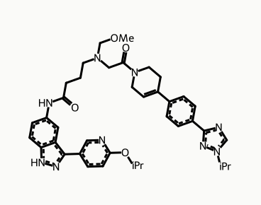 COCN(CCCC(=O)Nc1ccc2[nH]nc(-c3ccc(OC(C)C)nc3)c2c1)CC(=O)N1CC=C(c2ccc(-c3ncn(C(C)C)n3)cc2)CC1